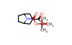 CC(C)(C)OC(=O)N1C2CCC1CC(C(=O)O)C2